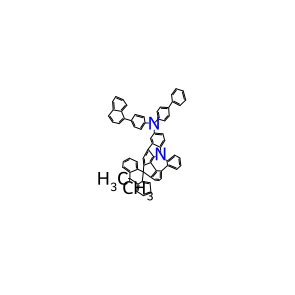 CC1(C)c2ccccc2C2(c3ccccc31)c1cccc3c1-c1c2ccc2c4cc(N(c5ccc(-c6ccccc6)cc5)c5ccc(-c6cccc7ccccc67)cc5)ccc4n(c12)-c1ccccc1-3